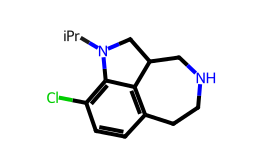 CC(C)N1CC2CNCCc3ccc(Cl)c1c32